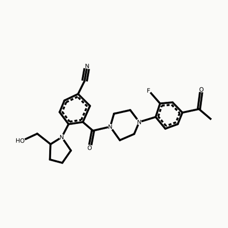 CC(=O)c1ccc(N2CCN(C(=O)c3cc(C#N)ccc3N3CCCC3CO)CC2)c(F)c1